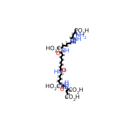 NC(Cc1c[n+](CCCCC(NC(=O)CCCCCCC(=O)NCCCCC(NC(=O)NC(CCC(=O)O)C(=O)O)C(=O)O)C(=O)O)n[nH]1)C(=O)O